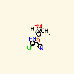 CC(C)(CO)c1ccc(SNc2ccc(Cl)cc2C(=O)c2ccncc2)cc1